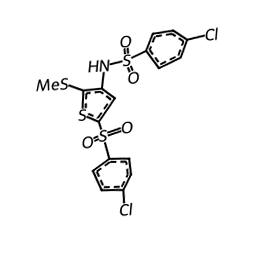 CSc1sc(S(=O)(=O)c2ccc(Cl)cc2)cc1NS(=O)(=O)c1ccc(Cl)cc1